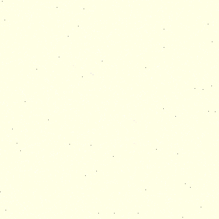 FC(F)(F)c1ccc2c(c1)ncn2-c1ccc(OCCN2CCN(CC=Cc3ccccc3)CC2)cc1